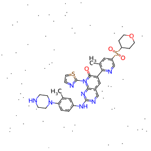 Cc1cc(Nc2ncc3cc(-c4ncc(S(=O)(=O)C5CCOCC5)cc4C)c(=O)n(-c4nccs4)c3n2)ccc1N1CCNCC1